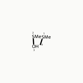 CSC.CSO